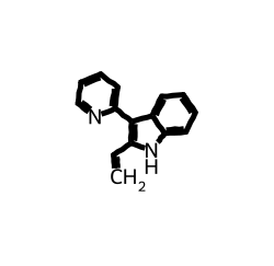 C=Cc1[nH]c2ccccc2c1-c1ccccn1